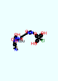 Cc1ncsc1-c1ccc(CNC(=O)[C@@H]2C[C@@H](O)CN2C(=O)[C@@H](NC(=O)CCCCCCC(=O)N2CCN(CCOc3ccc(C(=C(CCCl)c4ccc(O)cc4)c4ccc(O)cc4)cc3)CC2)C(C)(C)C)cc1